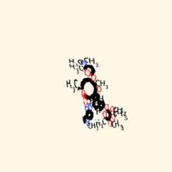 CC[C@H]1CCC[C@H](O[C@H]2CC[C@H](N(C)C)C(C)O2)[C@@H](C)C(=O)C2=C[C@H]3[C@@H]4C[C@H](O[C@@H]5OC(C)[C@H](OC)C(OC)C5OC)C[C@H]4C[C@H](Nc4ccc5c(ccn5C)c4)[C@H]3[C@@H]2CC(=O)O1